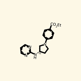 CCOC(=O)c1ccc(N2CC[C@H](Nc3ncccn3)C2)cc1